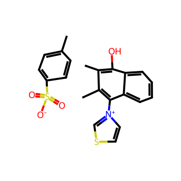 Cc1c(C)c(-[n+]2ccsc2)c2ccccc2c1O.Cc1ccc(S(=O)(=O)[O-])cc1